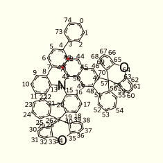 c1ccc(-c2ccc(-c3ccccc3N(c3cccc4c3-c3ccccc3C43c4ccccc4Oc4ccccc43)c3cccc4cc5c(cc34)-c3ccccc3C53c4ccccc4Oc4ccccc43)cc2)cc1